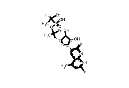 CCC(C)(C[C@H]1O[C@@H](c2cc3c(C)cc(F)[nH]c-3nc2=S)[C@@H](O)C1O)OP(=O)(O)C(C)(O)CC